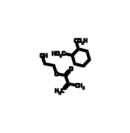 C=C(C)C(=O)OCCO.O=C(O)C1CCCCC1C(=O)O